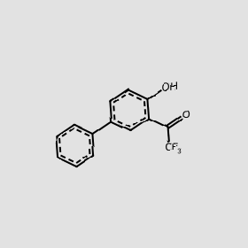 O=C(c1cc(-c2ccccc2)ccc1O)C(F)(F)F